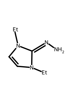 CCn1ccn(CC)c1=NN